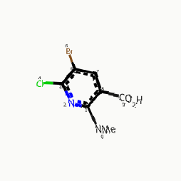 CNc1nc(Cl)c(Br)cc1C(=O)O